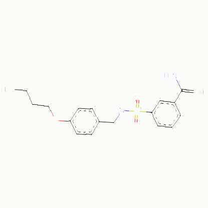 C=C(N)c1cccc(S(=O)(=O)NCc2ccc(OCCCC)cc2)c1